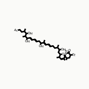 CCC1CC(C)C2(NC1=O)OC(CC(O)C(C)CC/C=C/C=C(\C)C(O)C/C=C/C=C/C(O)C(C)C(O)C(C)CCC(C)=O)C(C)C=C2C